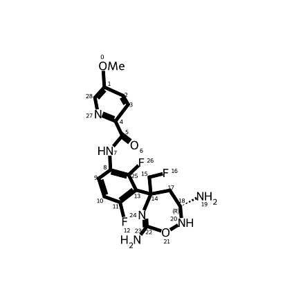 COc1ccc(C(=O)Nc2ccc(F)c(C3(CF)C[C@H](N)NOC(N)=N3)c2F)nc1